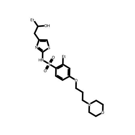 CCc1cc(OCCCN2CCOCC2)ccc1S(=O)(=O)Nc1nc(CC(O)CC)cs1